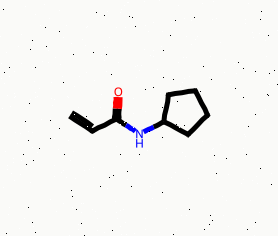 C=CC(=O)NC1[CH]CCC1